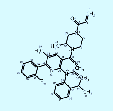 C=CC(=O)N1CCN(/C(=N/C)c2cc(C)c(-c3ccccc3F)nc2N(C=O)c2ccccc2C(C)C)C(C)C1